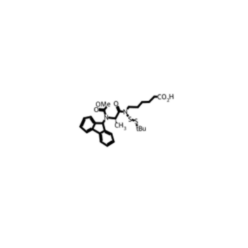 COC(=O)N(C1c2ccccc2-c2ccccc21)[C@@H](C)C(=O)N(CCCCCC(=O)O)SSC(C)(C)C